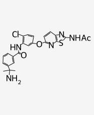 CC(=O)Nc1nc2ccc(Oc3ccc(Cl)c(NC(=O)c4cccc(C(C)(C)N)c4)c3)nc2s1